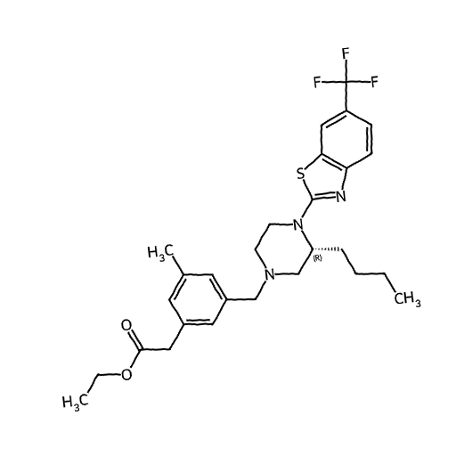 CCCC[C@@H]1CN(Cc2cc(C)cc(CC(=O)OCC)c2)CCN1c1nc2ccc(C(F)(F)F)cc2s1